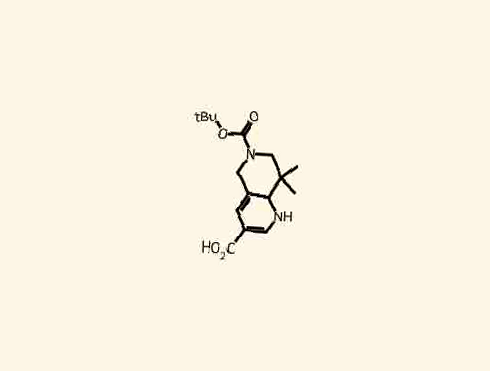 CC(C)(C)OC(=O)N1CC2=CC(C(=O)O)=CNC2C(C)(C)C1